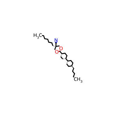 CCCCCCC[C@]1(C#N)CO[C@H]([C@H]2CC[C@@H]([C@H]3CC[C@H](CCCCC)CC3)CC2)OC1